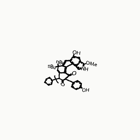 CCCCC1(CCCC)C=C2C(=C3C1=Cc1c(O)cc4c(OC)[nH]cc4c13)C(=O)C(c1ccc(O)cc1)C(=O)C2C(C)(C)c1ccccc1